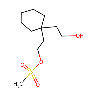 CS(=O)(=O)OCCC1(CCO)CCCCC1